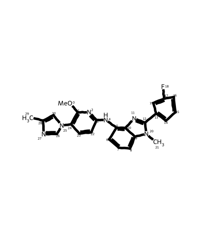 COc1nc(Nc2cccc3c2nc(-c2cccc(F)c2)n3C)ccc1-n1cnc(C)c1